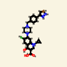 O=C(O)c1cn(C2CC2)c2cc(N3CCN(Cc4ccc(-c5csnn5)cc4)CC3)c(F)cc2c1=O